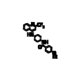 CCOc1ccc(C(=O)N[C@H]2CC[C@@H](Nc3cc(C(F)(F)F)nc4ccccc34)CC2)cc1